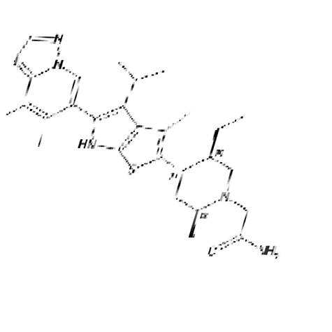 CC[C@H]1CN(CC(N)=O)[C@@H](C)C[C@@H]1c1sc2[nH]c(-c3cn4ncnc4c(C)c3C)c(C(C)C)c2c1C